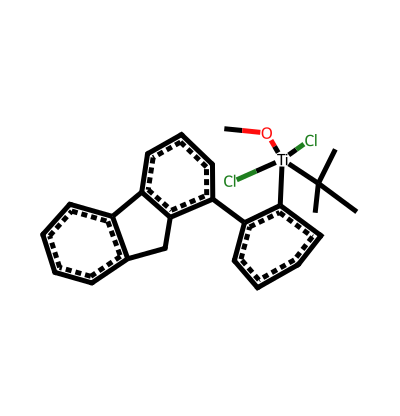 C[O][Ti]([Cl])([Cl])([c]1ccccc1-c1cccc2c1Cc1ccccc1-2)[C](C)(C)C